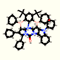 CC(C)(C)c1cc(C(C)(C)C)c2c3c1B(c1ccccc1)c1c(-c4ccccc4)c(-c4ccccc4)n4c(=O)n5c6c7ccccc7n(-c7ccccc7)c6c(c5n-3c14)B2c1ccccc1